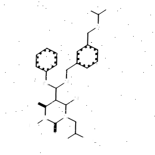 CC(C)CN1C(=O)N(C)C(=O)C(C(NCc2cccc(CNC(C)C)c2)Nc2ccccc2)C1N